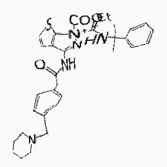 CCOC(=O)[N+]1(C(=O)NC(C)(C)c2ccccc2)N=C(NC(=O)c2ccc(CN3CCCCC3)cc2)c2ccsc21